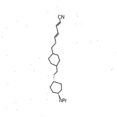 CCC[C@H]1CC[C@H](CCC2CCC(CCC=CC=CC#N)CC2)CC1